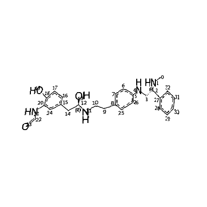 CN[C@@H](CNc1ccc(CCN[C@H](O)Cc2ccc(O)c(NC=O)c2)cc1)c1ccccc1